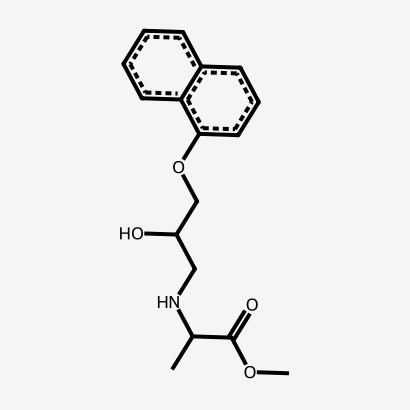 COC(=O)C(C)NCC(O)COc1cccc2ccccc12